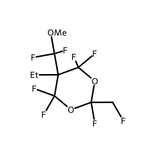 CCC1(C(F)(F)OC)C(F)(F)OC(F)(CF)OC1(F)F